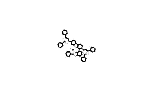 c1ccc(-c2cc(-c3ccc4c5ccc(-c6cc(-c7ccccc7)nc(-c7ccccc7)n6)cc5n(-c5nc6ccccc6c6nc7ccccc7n56)c4c3)nc(-c3ccccc3)n2)cc1